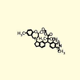 Cc1ccc2c(c1)CN(C1CCc3ccc(C(c4ccc5c(nnn5C)c4C)C(C)(C)C(=O)OC=O)cc31)C[C@@H](C)O2